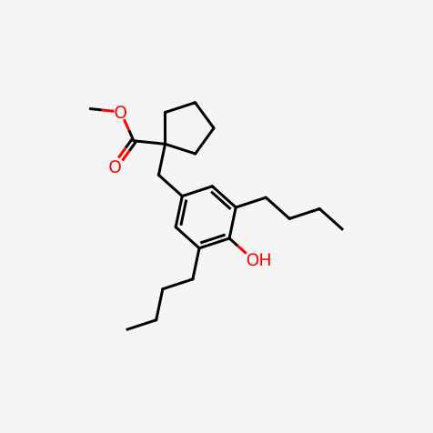 CCCCc1cc(CC2(C(=O)OC)CCCC2)cc(CCCC)c1O